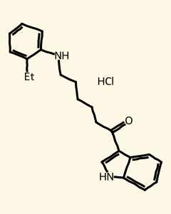 CCc1ccccc1NCCCCCC(=O)c1c[nH]c2ccccc12.Cl